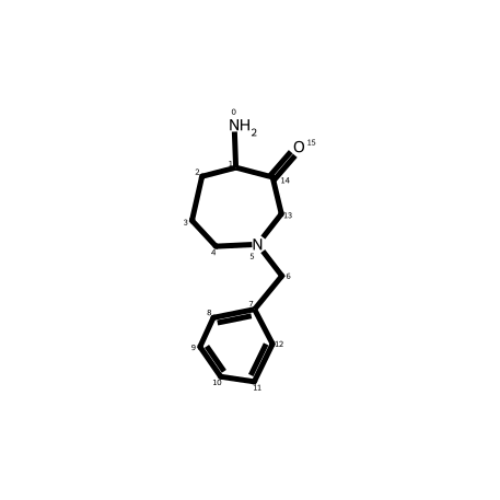 NC1CCCN(Cc2ccccc2)CC1=O